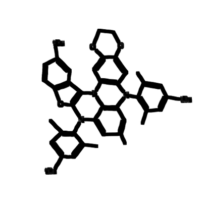 Cc1cc2c3c(c1)N(c1c(C)cc(C(C)(C)C)cc1C)c1oc4ccc(C(C)(C)C)cc4c1B3c1cc3c(cc1N2c1c(C)cc(C(C)(C)C)cc1C)OCCO3